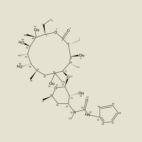 CC[C@H]1OC(=O)[C@H](C)[C@@H](O)[C@H](C)[C@@H](O[C@@H]2O[C@H](C)CC(N(C)C(=O)Nc3ccccc3)[C@H]2O)C(C)(O)C[C@@H](C)[C@H](O)[C@H](C)[C@@H](O)[C@]1(C)O